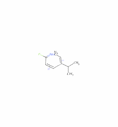 C/C=C(\C=C/C(=N)F)C(C)C